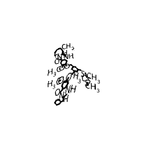 C=C1CCCCCN2C(=O)C3CC(OC)=C(OCC4CC(COC5=C(OC)CC6C(=O)N7C8CCCCC8C[C@H]7CNC6=C5)=CC(CSCC(C)(C)SSC)C4)CC3NC[C@@H]2C1